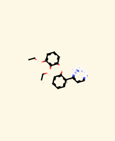 CCOc1cccc(Oc2ccccc2-c2ccnnn2)c1OCC